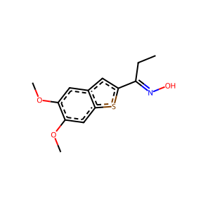 CC/C(=N\O)c1cc2cc(OC)c(OC)cc2s1